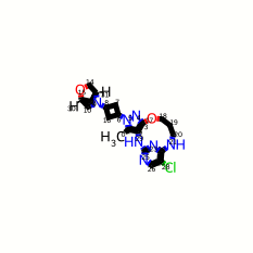 Cc1c2c(nn1C1CC(N3C[C@@H]4C[C@H]3CO4)C1)OCCCNc1nc(ncc1Cl)N2